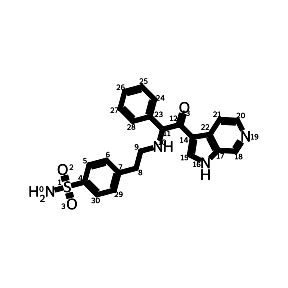 NS(=O)(=O)c1ccc(CCNC(C(=O)c2c[nH]c3cnccc23)c2ccccc2)cc1